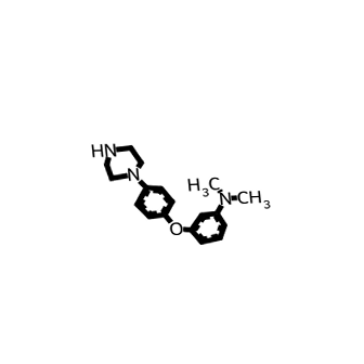 CN(C)c1cccc(Oc2ccc(N3CCNCC3)cc2)c1